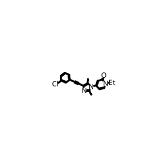 CCn1ccc(-n2c(C)nc(C#Cc3cccc(Cl)c3)c2C)cc1=O